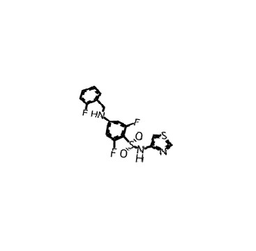 O=S(=O)(Nc1cscn1)c1c(F)cc(NCc2ccccc2F)cc1F